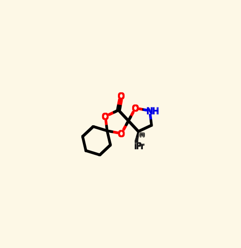 CC(C)[C@@H]1CNOC12OC1(CCCCC1)OC2=O